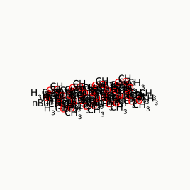 CCCC[Si](C)(C)O[Si](C)(C)O[Si](C)(C)O[Si](C)(C)O[Si](C)(C)O[Si](C)(C)O[Si](C)(C)O[Si](C)(C)O[Si](C)(C)O[Si](C)(C)O[Si](C)(C)O[Si](C)(C)O[Si](C)(C)O[Si](C)(C)O[Si](C)(C)O[Si](C)(C)O[Si](C)(C)O[Si](C)(C)O[Si](C)(C)O[Si](C)(C)O[Si](C)(C)O[Si](C)(C)O[Si](C)(C)O[Si](C)(C)O[Si](C)(C)O[Si](C)(C)O[Si](C)(C)O[Si](C)(C)O[Si](C)(C)O[Si](C)(C)O[Si](C)(C)O[Si](C)(C)C